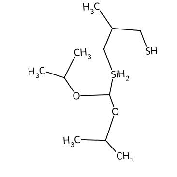 CC(CS)C[SiH2]C(OC(C)C)OC(C)C